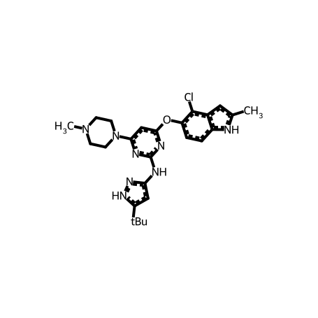 Cc1cc2c(Cl)c(Oc3cc(N4CCN(C)CC4)nc(Nc4cc(C(C)(C)C)[nH]n4)n3)ccc2[nH]1